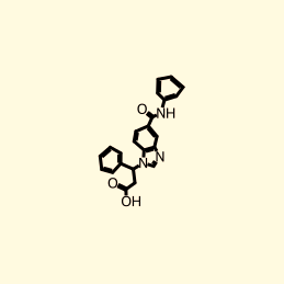 O=C(O)CC(c1ccccc1)n1cnc2cc(C(=O)Nc3ccccc3)ccc21